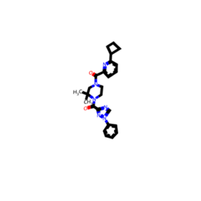 CC1(C)CN(C(=O)c2cccc(C3CCC3)n2)CCN1C(=O)c1ncn(-c2ccccc2)n1